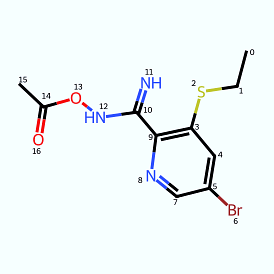 CCSc1cc(Br)cnc1C(=N)NOC(C)=O